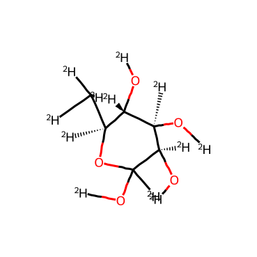 [2H]OC1([2H])O[C@@]([2H])(C([2H])([2H])[2H])[C@]([2H])(O[2H])[C@@]([2H])(O[2H])[C@@]1([2H])O[2H]